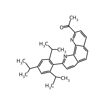 CC(=O)c1ccc2ccc3ccc(-c4c(C(C)C)cc(C(C)C)cc4C(C)C)nc3c2n1